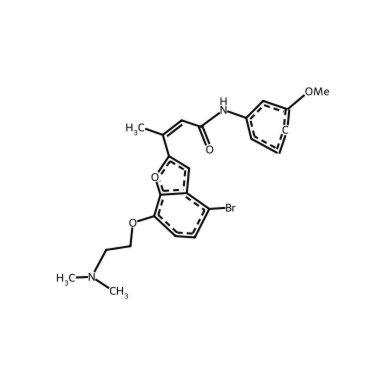 COc1cccc(NC(=O)/C=C(/C)c2cc3c(Br)ccc(OCCN(C)C)c3o2)c1